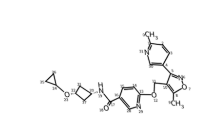 Cc1ccc(-c2noc(C)c2COc2ccc(C(=O)N[C@H]3C[C@@H](OC4CC4)C3)cn2)cn1